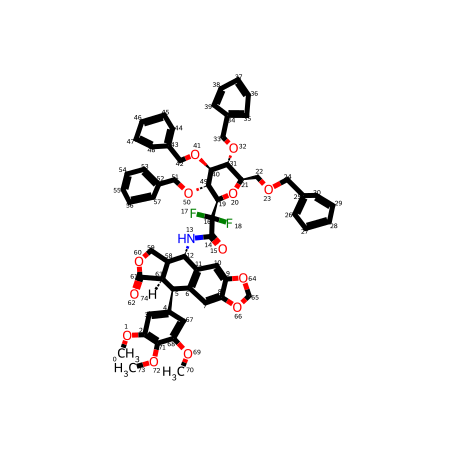 COc1cc([C@@H]2c3cc4c(cc3[C@@H](NC(=O)C(F)(F)[C@@H]3O[C@H](COCc5ccccc5)[C@@H](OCc5ccccc5)[C@H](OCc5ccccc5)[C@H]3OCc3ccccc3)C3COC(=O)[C@@H]32)OCO4)cc(OC)c1OC